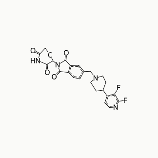 O=C1CCC(N2C(=O)c3ccc(CN4CCC(c5ccnc(F)c5F)CC4)cc3C2=O)C(=O)N1